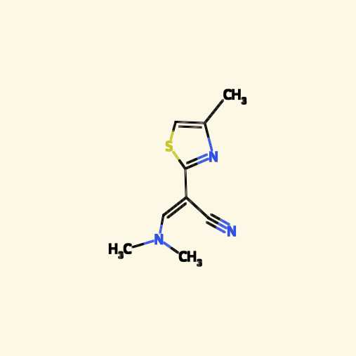 Cc1csc(C(C#N)=CN(C)C)n1